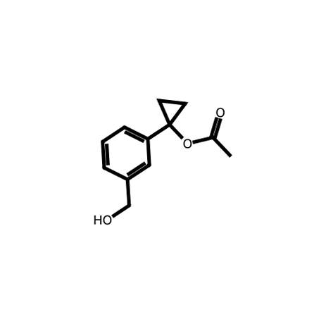 CC(=O)OC1(c2cccc(CO)c2)CC1